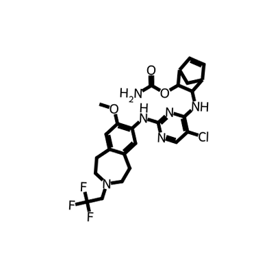 COc1cc2c(cc1Nc1ncc(Cl)c(NC3C4C=CC(C4)C3OC(N)=O)n1)CCN(CC(F)(F)F)CC2